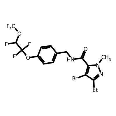 CCc1nn(C)c(C(=O)NCc2ccc(OC(F)(F)C(F)OC(F)(F)F)cc2)c1Br